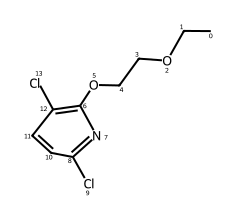 CCOCCOc1nc(Cl)ccc1Cl